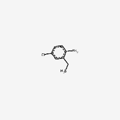 BCc1cc(Cl)ccc1B